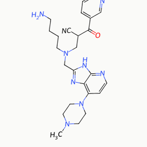 CN1CCN(c2ccnc3[nH]c(CN(CCCCN)CC(C#N)C(=O)c4cccnc4)nc23)CC1